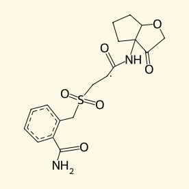 NC(=O)c1ccccc1CS(=O)(=O)C[CH]C(=O)NC12CCCC1OCC2=O